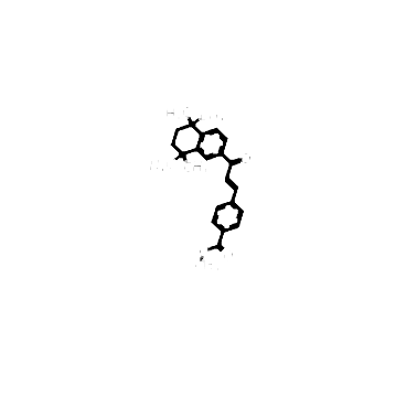 COC(=O)c1ccc(C=CC(=O)c2ccc3c(c2)C(C)(C)CCC3(C)C)cc1